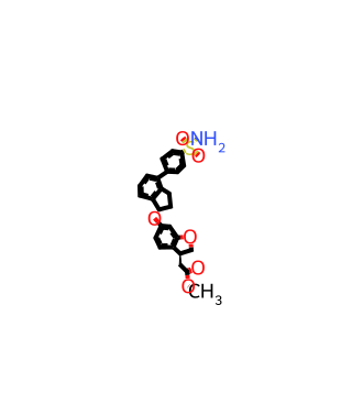 COC(=O)C[C@@H]1COc2cc(O[C@@H]3CCc4c(-c5ccc(S(N)(=O)=O)cc5)cccc43)ccc21